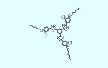 CCCCCCOc1ccc(-c2noc(-c3cc(-c4nc(-c5ccc(OCCCCCC)c(Cl)c5)no4)cc(-c4nc(-c5ccc(OCCCCCC)c(Cl)c5)no4)c3)n2)cc1Cl